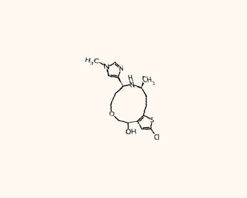 C[C@H]1CCc2sc(Cl)cc2C(O)COCC[C@@H](c2cn(C)cn2)N1